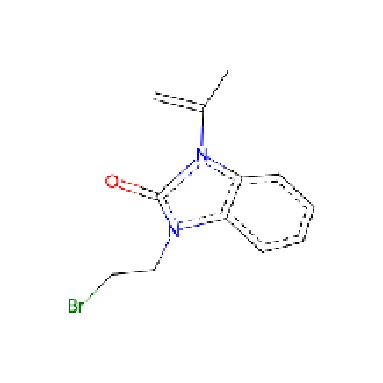 C=C(C)n1c(=O)n(CCBr)c2ccccc21